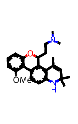 COc1cccc2c1-c1ccc3c(c1C(CCN(C)C)O2)C(C)=CC(C)(C)N3